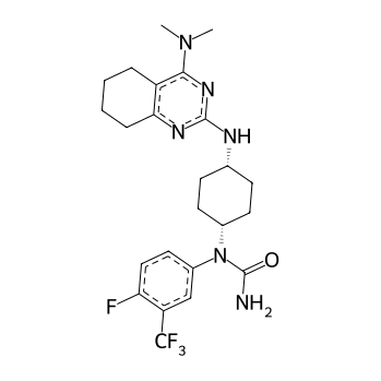 CN(C)c1nc(N[C@H]2CC[C@@H](N(C(N)=O)c3ccc(F)c(C(F)(F)F)c3)CC2)nc2c1CCCC2